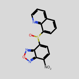 O=[N+]([O-])c1ccc([S+]([O-])c2cccc3cccnc23)c2nonc12